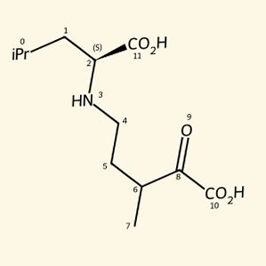 CC(C)C[C@H](NCCC(C)C(=O)C(=O)O)C(=O)O